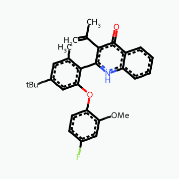 C=C(C)c1c(-c2c(C)cc(C(C)(C)C)cc2Oc2ccc(F)cc2OC)[nH]c2ccccc2c1=O